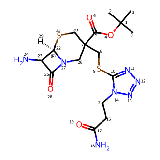 CC(C)(C)OC(=O)C1(CSc2nnnn2CCC(N)=O)CS[C@@H]2C(N)C(=O)N2C1